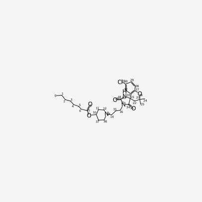 CCCCCCCC(=O)OC1CCN(CCCN2C(=O)NC3(CC(C)(C)Oc4ccc(Cl)cc43)C2=O)CC1